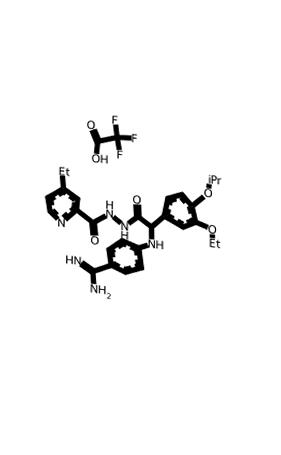 CCOc1cc(C(Nc2ccc(C(=N)N)cc2)C(=O)NNC(=O)c2cc(CC)ccn2)ccc1OC(C)C.O=C(O)C(F)(F)F